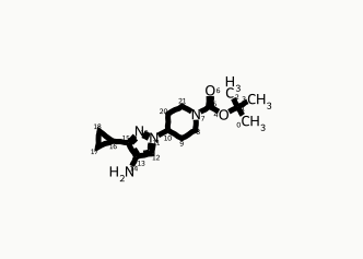 CC(C)(C)OC(=O)N1CCC(n2cc(N)c(C3CC3)n2)CC1